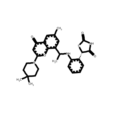 Cc1cc(C(C)Nc2ccccc2[C@@H]2SC(=O)NC2=O)c2oc(N3CCC(C)(C)CC3)cc(=O)c2c1